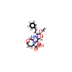 CCOC(=O)[C@H](CCc1ccccc1)NC(C)C(=O)N1CCOCCC[C@H]1C(=O)O